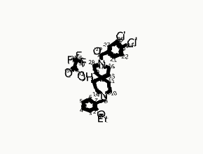 CCOc1ccccc1CN1CCC2(CC1)CCN(C(=O)c1ccc(Cl)c(Cl)c1)CC2.O=C(O)C(F)(F)F